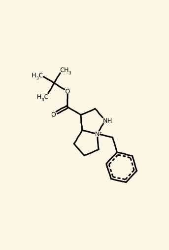 CC(C)(C)OC(=O)C1CN[N+]2(Cc3ccccc3)CCCC12